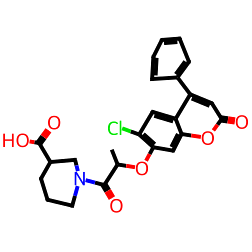 CC(Oc1cc2oc(=O)cc(-c3ccccc3)c2cc1Cl)C(=O)N1CCCC(C(=O)O)C1